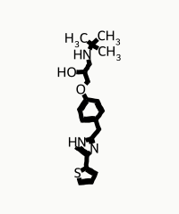 CC(C)(C)NCC(O)COc1ccc(Cc2nc(-c3cccs3)c[nH]2)cc1